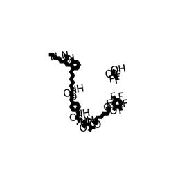 CCCCCc1cc2c(CCCCCNC(=O)OCc3ccc(NC(=O)[C@H](C)NC(=O)[C@@H](NC(=O)CCCCC(=O)Oc4c(F)c(F)c(F)c(F)c4F)C(C)C)cc3)cccc2nc1N.O=C(O)C(F)(F)F